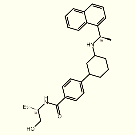 CC[C@@H](CO)NC(=O)c1ccc(C2CCCC(N[C@H](C)c3cccc4ccccc34)C2)cc1